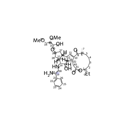 CC[C@H]1CCCC[C@@H](C)C(=O)C2=CC3[C@@H](C(O)C(N/C=C(\N)c4ccccc4)[C@@H]4C[C@@H](OC(O)[C@H](COC)OC)C[C@@H]34)[C@@H]2CC(=O)O1